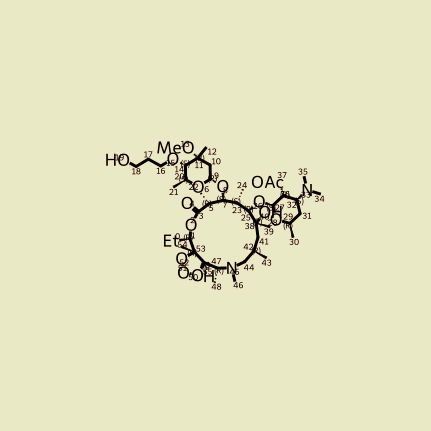 CC[C@H]1OC(=O)[C@H](C)[C@@H](O[C@H]2C[C@@](C)(OC)[C@@H](OCCCO)[C@H](C)O2)[C@H](C)[C@@H](O[C@@H]2O[C@H](C)C[C@H](N(C)C)[C@H]2OC(C)=O)[C@](C)(O)C[C@@H](C)CN(C)[C@H](C)[C@H]2OOO[C@@]21C